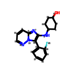 OC1CCC(Nc2nc3cccnn3c2-c2ccccc2F)CC1